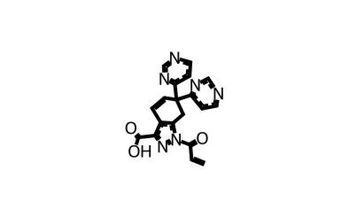 C=CC(=O)n1nc(C(=O)O)c2c1CC(c1ccncn1)(c1ccncn1)C=C2